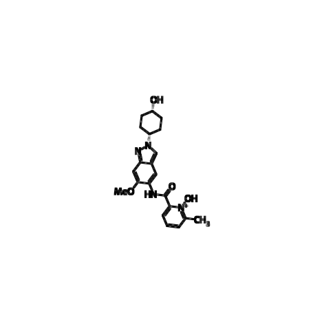 COc1cc2nn([C@H]3CC[C@@H](O)CC3)cc2cc1NC(=O)c1cccc(C)[n+]1O